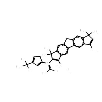 CC1=CC(C)(C)c2cc3c(cc21)-c1cc2c(cc1C3)C(C)(C)[C]([Zr+2]([C]1=CC(C(C)(C)C)=CC1)=[C](C)C)=C2C.[Cl-].[Cl-]